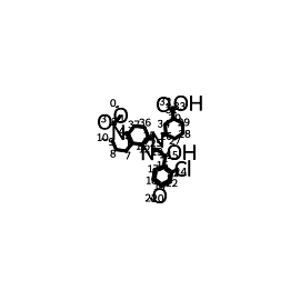 COC(=O)N1C2=C(CC[C@@H]1C)c1nc(C(O)c3ccc(OC)cc3Cl)n(C3CCCC(C(=O)O)C3)c1CC2